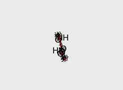 O=C(CCCCCCC(=O)Nc1ccccc1)NOC(=O)CCc1ccccc1